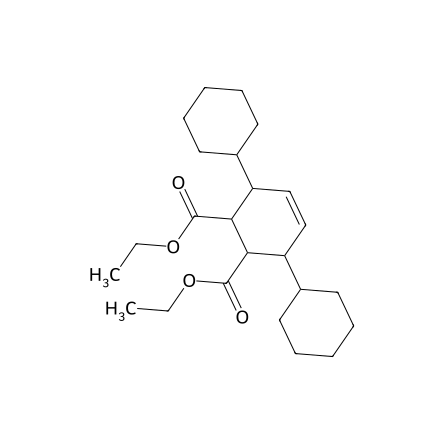 CCOC(=O)C1C(C2CCCCC2)C=CC(C2CCCCC2)C1C(=O)OCC